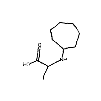 CC(NC1CCCCCC1)C(=O)O